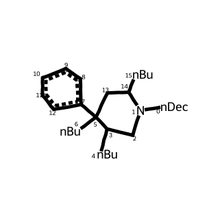 CCCCCCCCCCN1CC(CCCC)C(CCCC)(c2ccccc2)CC1CCCC